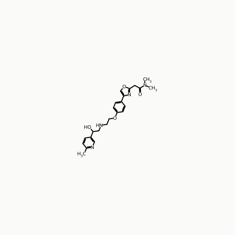 Cc1ccc(C(O)CNCCOc2ccc(-c3coc(CC(=O)N(C)C)n3)cc2)cn1